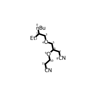 CCCCC(CC)COCC(CC#N)OCCC#N